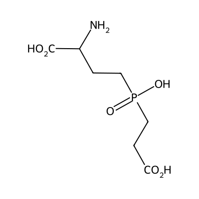 NC(CCP(=O)(O)CCC(=O)O)C(=O)O